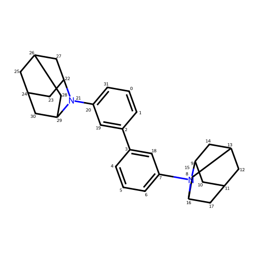 c1cc(-c2cccc(N3C4CC5CC(C4)CC3C5)c2)cc(N2C3CC4CC(C3)CC2C4)c1